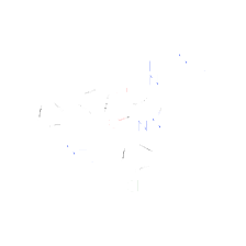 NCCNc1cnn(-c2ccc(Cl)cc2)c(=O)c1Oc1ccc(-c2ccccc2CN)cc1